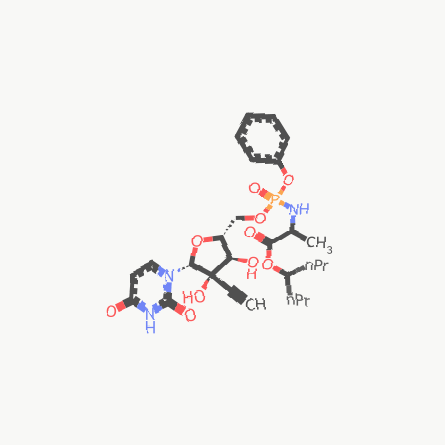 C#C[C@@]1(O)[C@H](O)[C@@H](COP(=O)(NC(C)C(=O)OC(CCC)CCC)Oc2ccccc2)O[C@H]1n1ccc(=O)[nH]c1=O